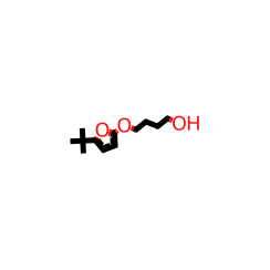 CC(C)(C)c1ccc(OCCCCO)o1